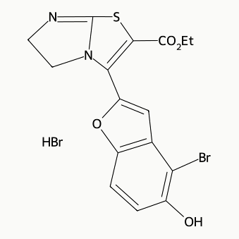 Br.CCOC(=O)C1=C(c2cc3c(Br)c(O)ccc3o2)N2CCN=C2S1